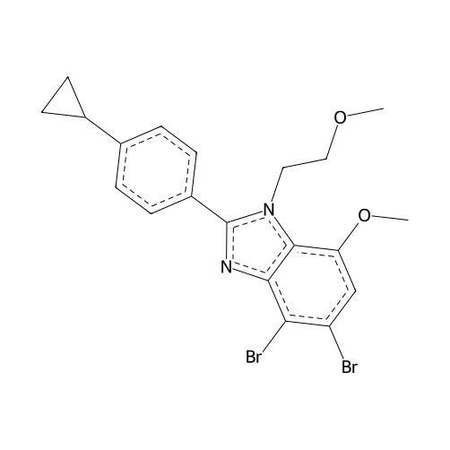 COCCn1c(-c2ccc(C3CC3)cc2)nc2c(Br)c(Br)cc(OC)c21